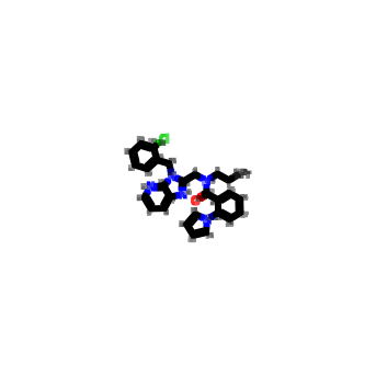 CC(C)CCN(Cc1nc2cccnc2n1Cc1ccccc1Cl)C(=O)c1ccccc1-n1cccc1